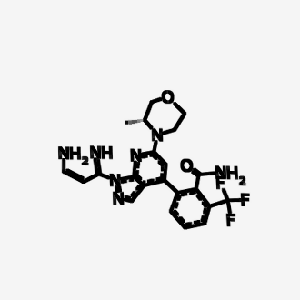 C[C@@H]1COCCN1c1cc(-c2cccc(C(F)(F)F)c2C(N)=O)c2cnn(C(=N)/C=C\N)c2n1